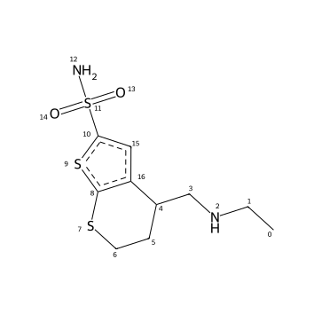 CCNCC1CCSc2sc(S(N)(=O)=O)cc21